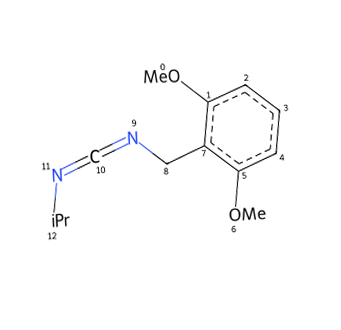 COc1cccc(OC)c1CN=C=NC(C)C